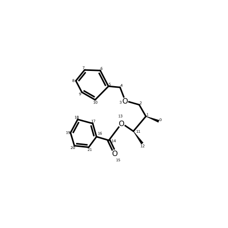 C[C@H](COCc1ccccc1)[C@@H](C)OC(=O)c1ccccc1